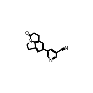 N#Cc1cncc(-c2cc3c4c(c2)CCN4C(=O)CC3)c1